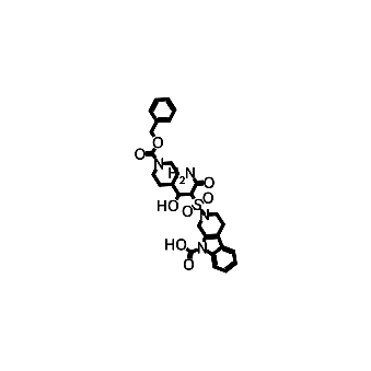 NC(=O)C(C(O)C1CCN(C(=O)OCc2ccccc2)CC1)S(=O)(=O)N1CCc2c(n(C(=O)O)c3ccccc23)C1